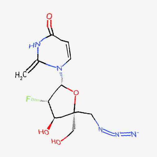 C=C1NC(=O)C=CN1[C@@H]1O[C@@](CO)(CN=[N+]=[N-])[C@@H](O)[C@@H]1F